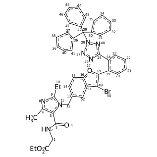 CCOC(=O)CNC(=O)c1c(C)nc(CC)n1Cc1ccc2oc(-c3ccccc3-c3nnn(C(c4ccccc4)(c4ccccc4)c4ccccc4)n3)c(Br)c2c1